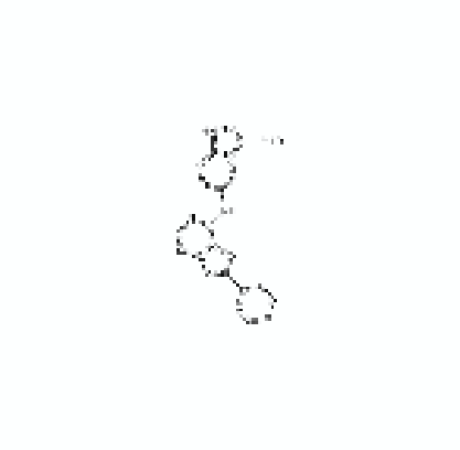 O=Cc1c[nH]c2ccc(Nc3ncnc4cc(-c5ccccc5)sc34)cc12